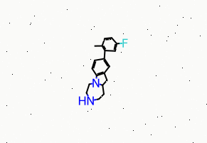 Cc1ccc(F)cc1-c1ccc2c(c1)CC1CCNCCN21